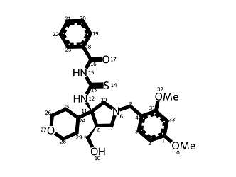 COc1ccc(CN2C[C@@H](CO)[C@](NC(=S)NC(=O)c3ccccc3)(C3CCOCC3)C2)c(OC)c1